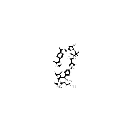 Cc1ncsc1-c1ccc(C(C)NC(=O)[C@@H]2C[C@@H](O)CN2C(=O)C(NC(=O)c2cnn(-c3ccc(C4=N[C@@H](CC(=O)O)c5nnc(C)n5-c5sc(C)c(C)c54)cc3)c2)C(C)(C)C)cc1